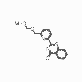 COCOCc1cccc(-c2nc(=O)c3ccccc3s2)n1